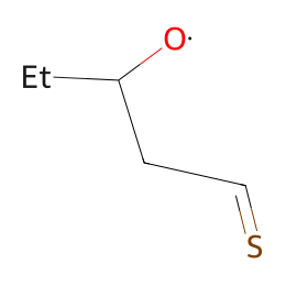 CCC([O])CC=S